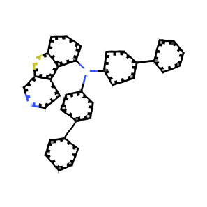 c1ccc(-c2ccc(N(c3ccc(-c4ccccc4)cc3)c3cccc4sc5cnccc5c34)cc2)cc1